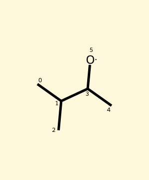 CC(C)C(C)[O]